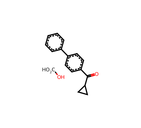 O=C(O)O.O=C(c1ccc(-c2ccccc2)cc1)C1CC1